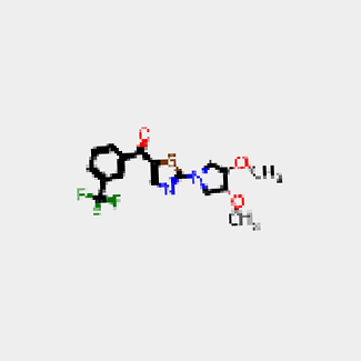 CO[C@H]1CN(c2ncc(C(=O)c3cccc(C(F)(F)F)c3)s2)C[C@H]1OC